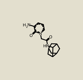 Nc1cccn(CC(=O)NC2C3CC4CC(C3)C2C4)c1=O